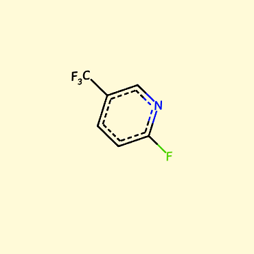 Fc1ccc(C(F)(F)F)cn1